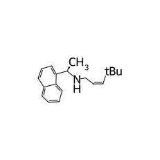 C[C@@H](NC/C=C\C(C)(C)C)c1cccc2ccccc12